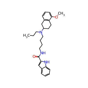 CCCN(CCCCNC(=O)c1cc2ccccc2[nH]1)C1CCc2c(cccc2OC)C1